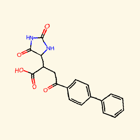 O=C1NC(=O)C(C(CC(=O)c2ccc(-c3ccccc3)cc2)C(=O)O)N1